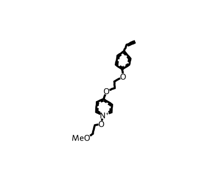 C=Cc1ccc(OCCOc2cc[n+](OCCOC)cc2)cc1